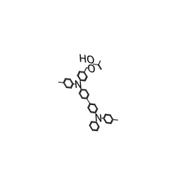 C=C(C)C(O)OCc1ccc(N(c2ccc(C)cc2)c2ccc(-c3ccc(N(c4ccccc4)c4ccc(C)cc4)cc3)cc2)cc1